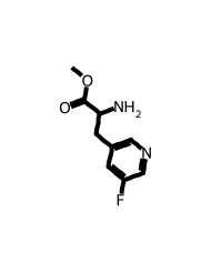 COC(=O)C(N)Cc1cncc(F)c1